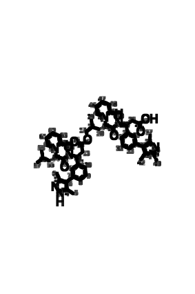 Cc1n[nH]c(C)c1-c1cccc([C@H](CC(=O)OCC(C)C[C@@H](C(=O)N[C@@H](CC(=O)O)c2cccc(-c3c(C)nn(C)c3C)c2)n2ccccc2=O)NC(=O)[C@H](CC(C)C)n2ccccc2=O)c1